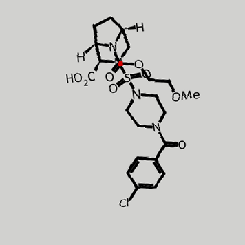 COCCOC(=O)N1[C@@H]2CC[C@H]1[C@H](C(=O)O)N(S(=O)(=O)N1CCN(C(=O)c3ccc(Cl)cc3)CC1)C2